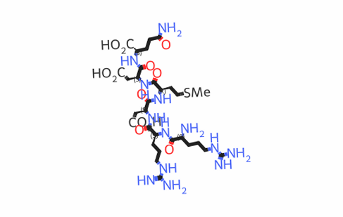 CSCC[C@@H](NC(=O)[C@H](CC(=O)O)NC(=O)[C@H](CCCNC(=N)N)NC(=O)[C@@H](N)CCCNC(=N)N)C(=O)N[C@@H](CC(=O)O)C(=O)N[C@@H](CCC(N)=O)C(=O)O